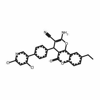 CCc1ccc2oc(=O)c3c(c2c1)OC(N)=C(C#N)C3c1ccc(-c2cnc(Cl)cc2Cl)cc1